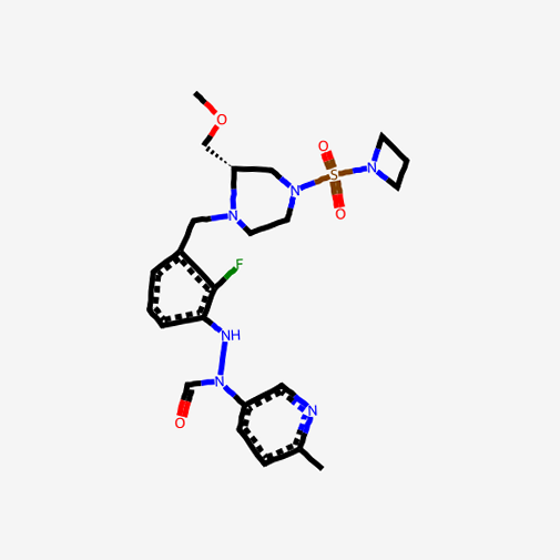 COC[C@@H]1CN(S(=O)(=O)N2CCC2)CCN1Cc1cccc(NN(C=O)c2ccc(C)nc2)c1F